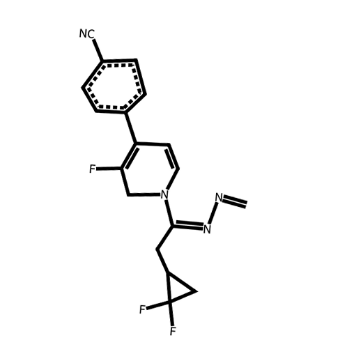 C=N/N=C(/CC1CC1(F)F)N1C=CC(c2ccc(C#N)cc2)=C(F)C1